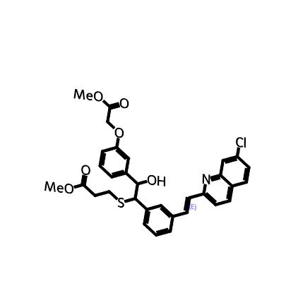 COC(=O)CCSC(c1cccc(/C=C/c2ccc3ccc(Cl)cc3n2)c1)C(O)c1cccc(OCC(=O)OC)c1